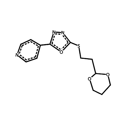 c1cc(-c2nnc(SCCC3OCCCO3)o2)ccn1